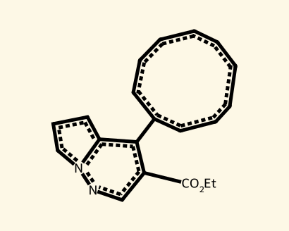 CCOC(=O)c1cnn2cccc2c1-c1ccccccccc1